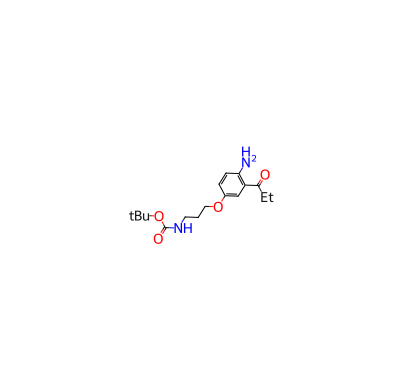 CCC(=O)c1cc(OCCCNC(=O)OC(C)(C)C)ccc1N